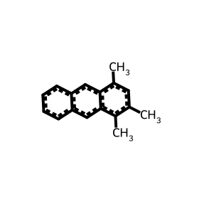 Cc1cc(C)c2cc3ccccc3cc2c1C